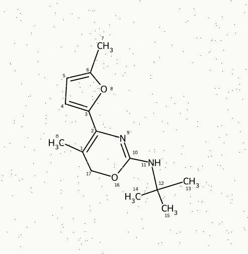 CC1=C(c2ccc(C)o2)N=C(NC(C)(C)C)OC1